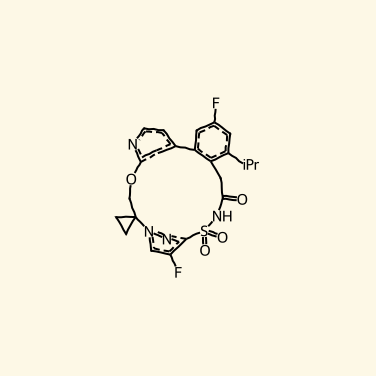 CC(C)c1cc(F)cc2c1CC(=O)NS(=O)(=O)c1nn(cc1F)C1(CC1)COc1cc-2ccn1